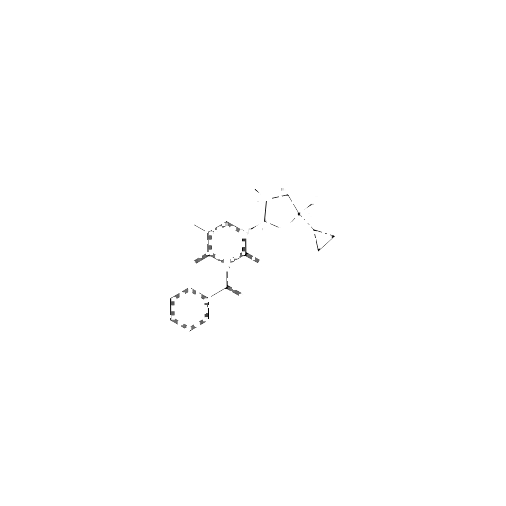 CC[C@@]1(C2CC2)O[C@@H](n2cc(F)c(=O)n(C(=O)c3ccccc3)c2=O)[C@@H](F)[C@@H]1C